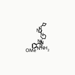 COc1cccc2c1nc(N)n1nc([C@@H]3CCCN(c4cnn(CC5CCC5)c4)C3)nc21